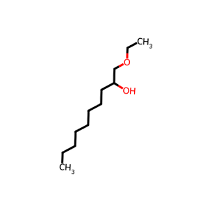 CCCCCCCCC(O)COCC